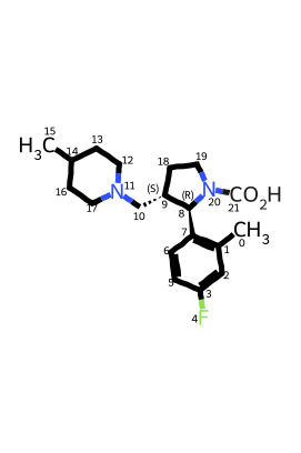 Cc1cc(F)ccc1[C@H]1[C@H](CN2CCC(C)CC2)CCN1C(=O)O